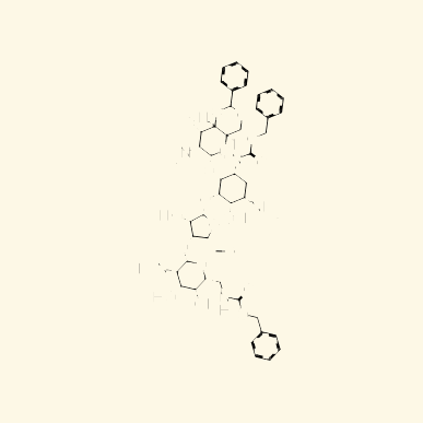 N[C@H]1[C@@H](O[C@H]2[C@@H](O)[C@H](O[C@@H]3[C@@H](O)[C@H](N)C[C@H](NC(=O)OCc4ccccc4)[C@H]3O[C@H]3O[C@@H]4COC(c5ccccc5)O[C@H]4[C@H](O)[C@H]3N)O[C@@H]2CO)O[C@@H](CNC(=O)OCc2ccccc2)[C@@H](O)[C@@H]1O